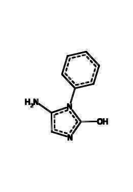 Nc1cnc(O)n1-c1ccccc1